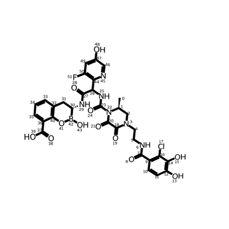 C[C@H]1CN(CCNC(=O)c2ccc(O)c(O)c2Cl)C(=O)C(=O)N1C(=O)NC(C(=O)N[C@H]1Cc2cccc(C(=O)O)c2OB1O)c1ncc(O)cc1F